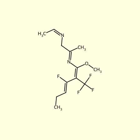 C/C=N\C/C(C)=N/C(OC)=C(\C(F)=C\CC)C(F)(F)F